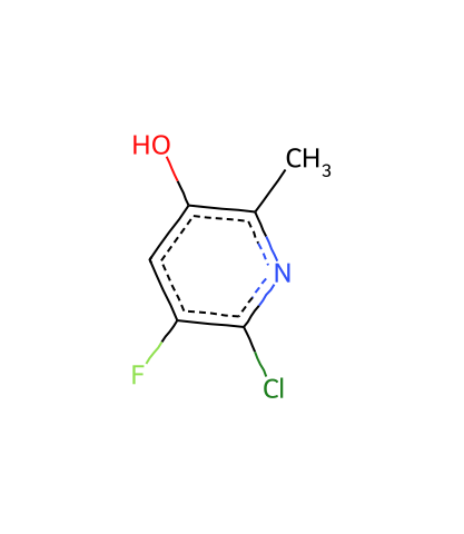 Cc1nc(Cl)c(F)cc1O